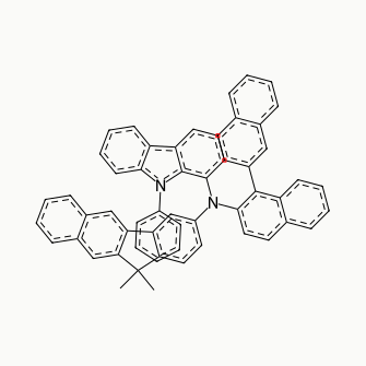 CC1(C)c2ccc(N(c3ccc4ccccc4c3-c3ccc4ccccc4c3)c3cccc4c5ccccc5n(-c5ccccc5)c34)cc2-c2cc3ccccc3cc21